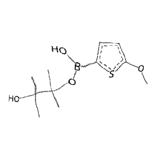 COc1ccc(B(O)OC(C)(C)C(C)(C)O)s1